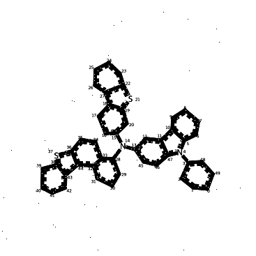 c1ccc(-n2c3ccccc3c3cc(N(c4ccc5c(c4)sc4ccccc45)c4cccc5c4ccc4sc6ccccc6c45)ccc32)cc1